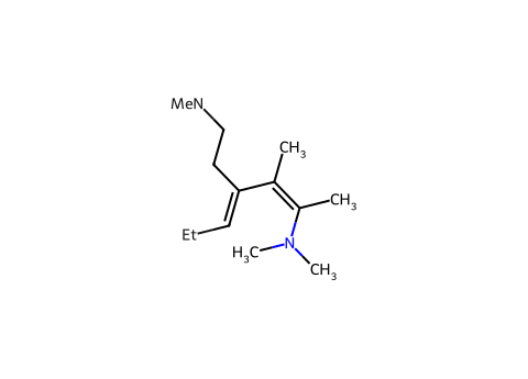 CC/C=C(CCNC)/C(C)=C(/C)N(C)C